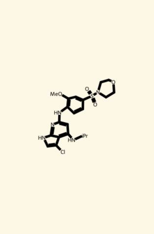 COc1cc(S(=O)(=O)N2CCOCC2)ccc1Nc1cc(NC(C)C)c2c(Cl)c[nH]c2n1